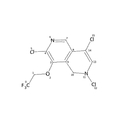 FC(F)(F)COc1c(Cl)ncc2c1CN(Cl)C=C2Cl